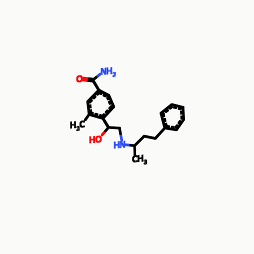 Cc1cc(C(N)=O)ccc1C(O)CNC(C)CCc1ccccc1